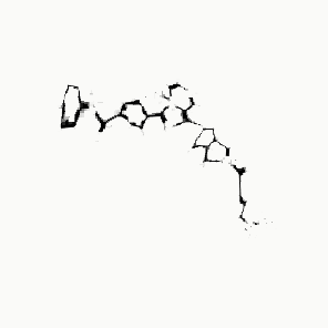 CN(C)C/C=C/C(=O)N1CC2CC(C3=C4C=NC=C[N+]4(N)C(c4ccc(C(=O)Nc5ccccc5)cc4)=N3)CC2C1